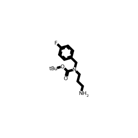 CC(C)(C)OC(=O)N(CCCN)Cc1ccc(F)cc1